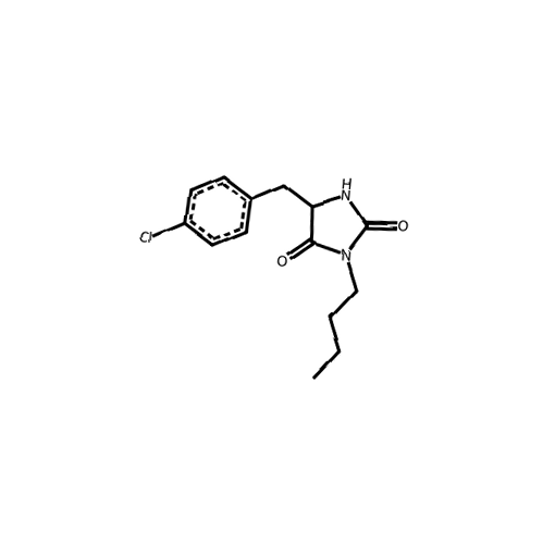 CCCCN1C(=O)NC(Cc2ccc(Cl)cc2)C1=O